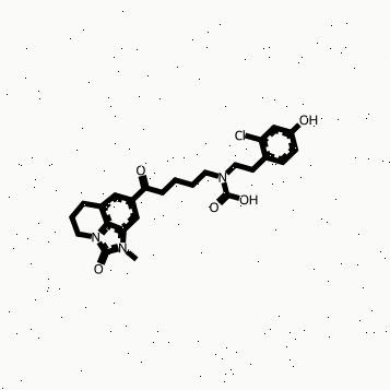 Cn1c(=O)n2c3c(cc(C(=O)CCCCN(CCc4ccc(O)cc4Cl)C(=O)O)cc31)CCC2